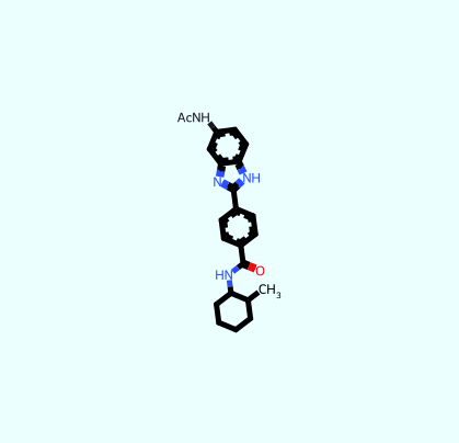 CC(=O)Nc1ccc2[nH]c(-c3ccc(C(=O)NC4CCCCC4C)cc3)nc2c1